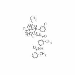 COCP(=O)(N[C@](C)(C(=O)O)C(C)C)O[C@@H]1CCCN(C(=O)c2ccc(NC(=O)c3ccccc3C)cc2C)c2ccc(Cl)cc21